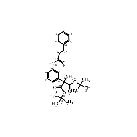 CC(C)(C)OC(=O)C(N)(C(=O)OC(C)(C)C)c1cccc(NC(=O)OCc2ccccc2)c1